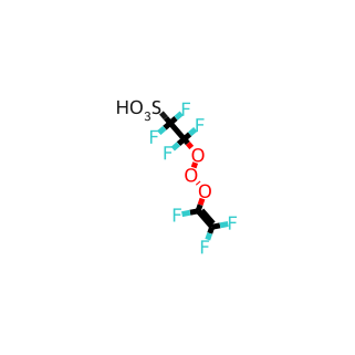 O=S(=O)(O)C(F)(F)C(F)(F)OOOC(F)=C(F)F